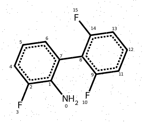 Nc1c(F)cccc1-c1c(F)cccc1F